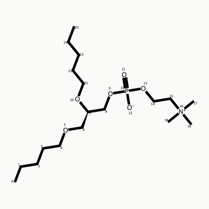 CCCCCOC[C@H](COP(=O)([O-])OCC[N+](C)(C)C)OCCCCC